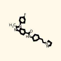 Cc1nc2ccc(C(=O)Nc3ccc(CCn4cccn4)cc3)cc2n1-c1ccc(F)cc1